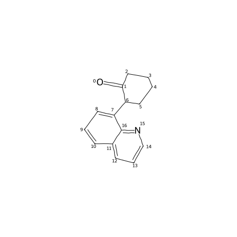 O=C1CCCCC1c1cccc2cccnc12